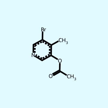 CC(=O)Oc1cncc(Br)c1C